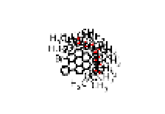 CCO[Si](OCC)(OCC)c1c([Si](OCC)(OCC)OCC)c2c([Si](OCC)(OCC)OCC)c([Si](OCC)(OCC)OCC)c3c([Si](OCC)(OCC)OCC)c([Si](OCC)(OCC)OCC)c4c(Br)c(Br)c5c6ccccc6c6ccc1c1c2c3c4c5c61